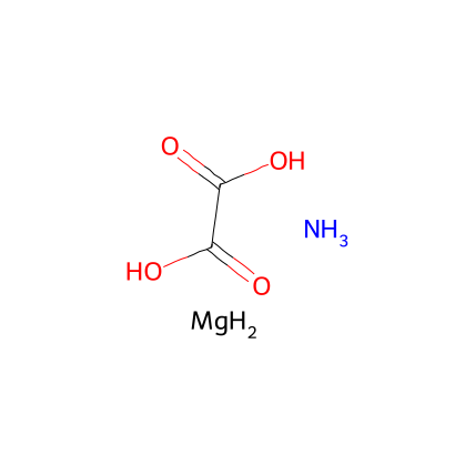 N.O=C(O)C(=O)O.[MgH2]